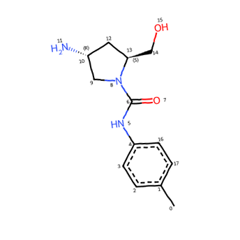 Cc1ccc(NC(=O)N2C[C@H](N)C[C@H]2CO)cc1